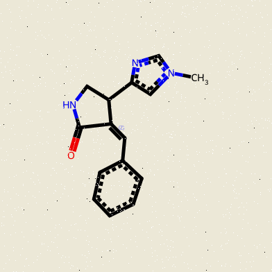 Cn1cnc(C2CNC(=O)/C2=C\c2ccccc2)c1